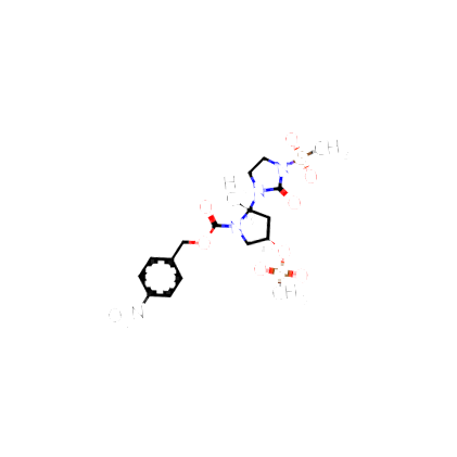 C[C@@]1(N2CCN(S(C)(=O)=O)C2=O)C[C@@H](OS(C)(=O)=O)CN1C(=O)OCc1ccc([N+](=O)[O-])cc1